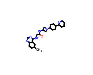 Cc1ccc2ncnc(NCC(=O)NC3CN(C4CCC(c5ccccn5)CC4)C3)c2c1